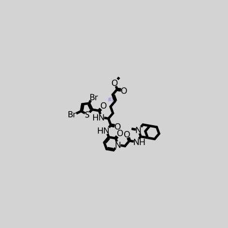 COC(=O)/C=C/CCC(NC(=O)c1sc(Br)cc1Br)C(=O)Nc1cccn(CC(=O)NC2C3CCCC(C3)CN2C)c1=O